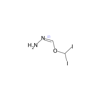 N/N=C\OC(I)I